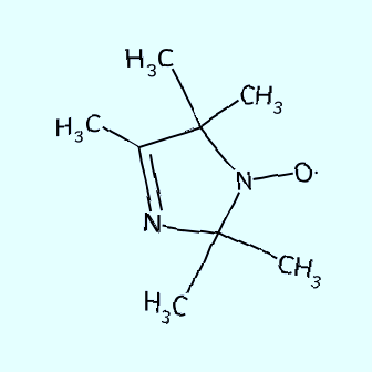 CC1=NC(C)(C)N([O])C1(C)C